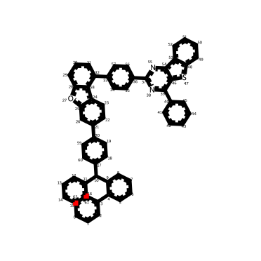 c1ccc(-c2ccccc2C(c2ccccc2)c2ccc(-c3ccc4c(c3)oc3cccc(-c5ccc(-c6nc(-c7ccccc7)c7sc8ccccc8c7n6)cc5)c34)cc2)cc1